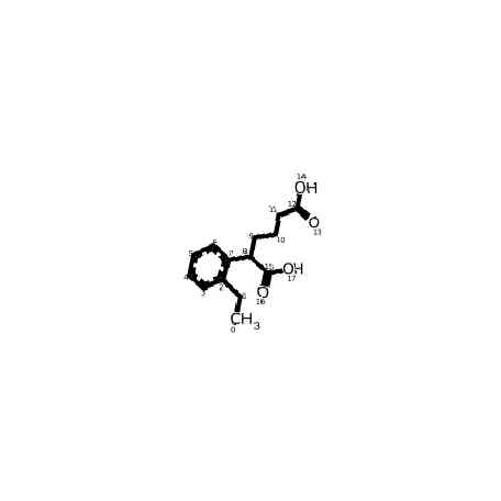 CCc1ccccc1C(CCCC(=O)O)C(=O)O